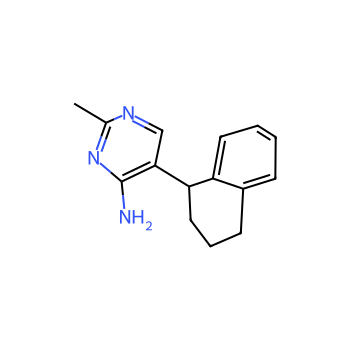 Cc1ncc(C2CCCc3ccccc32)c(N)n1